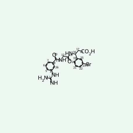 N=C(N)Nc1cccc(C(=O)NCC(=O)NC(CC(=O)O)c2cccc(Br)c2)c1